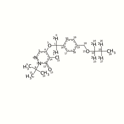 [2H]C([2H])(Oc1cnn(C(C)(C)C)c(=O)c1Cl)c1ccc(COC([2H])([2H])C([2H])([2H])C)cc1